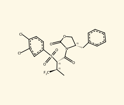 C[C@H]([C@@H](C(=O)N1C(=O)OC[C@@H]1Cc1ccccc1)S(=O)(=O)c1ccc(Cl)c(Cl)c1)C(F)(F)F